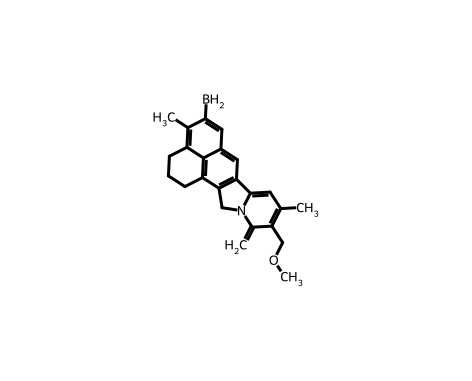 Bc1cc2cc3c(c4c2c(c1C)CCC4)CN1C(=C)C(COC)=C(C)C=C31